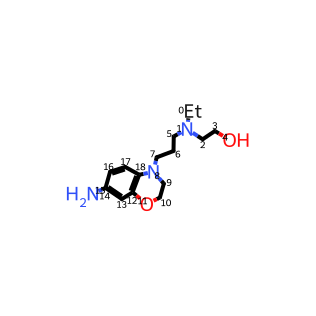 CCN(CCO)CCCN1CCOc2cc(N)ccc21